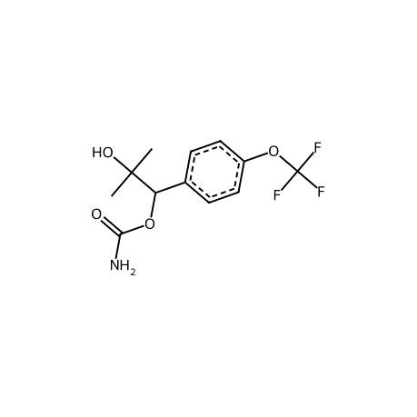 CC(C)(O)C(OC(N)=O)c1ccc(OC(F)(F)F)cc1